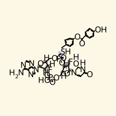 Nc1ncnc2c1ncn2[C@@H]1O[C@@H]2COP(=O)(/C=[SH]/Cc3ccc(OC(=O)c4ccc(O)cc4)cc3)O[C@H]3[C@@H](F)[C@H](N4C=CC(=O)NC4O)O[C@@H]3COP(=O)(O)O[C@@H]1[C@@H]2F